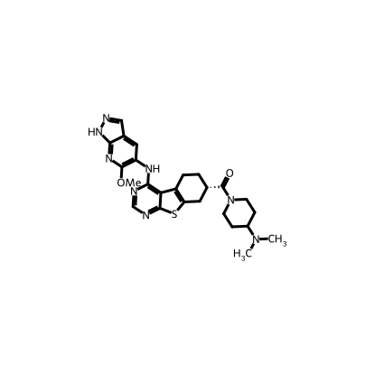 COc1nc2[nH]ncc2cc1Nc1ncnc2sc3c(c12)CC[C@H](C(=O)N1CCC(N(C)C)CC1)C3